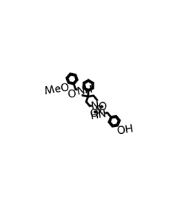 COc1ccccc1C(=O)NCC1(c2ccccc2)CCN(S(=O)(=O)NCc2ccc(O)cc2)CC1